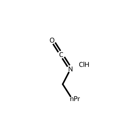 CCCCN=C=O.Cl